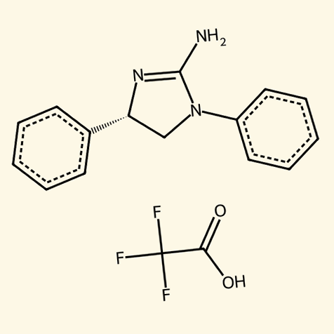 NC1=N[C@@H](c2ccccc2)CN1c1ccccc1.O=C(O)C(F)(F)F